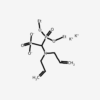 C=CCN(CC=C)C(P(=O)([O-])[O-])P(=O)(OCC)OCC.[K+].[K+]